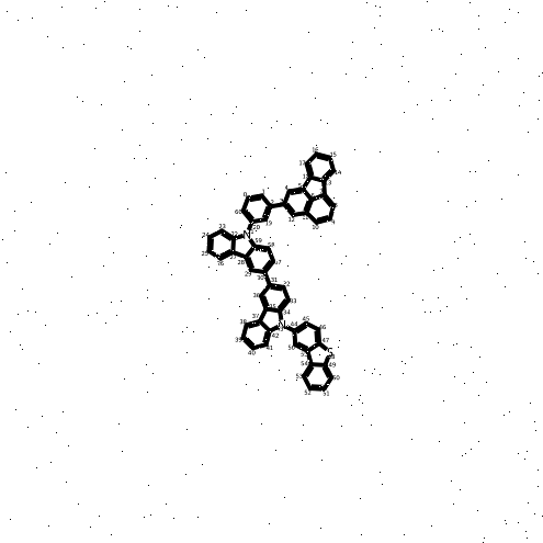 c1cc(-c2cc3c4c(cccc4c2)-c2ccccc2-3)cc(-n2c3ccccc3c3cc(-c4ccc5c(c4)c4ccccc4n5-c4ccc5sc6ccccc6c5c4)ccc32)c1